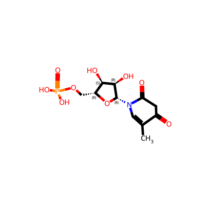 CC1=CN([C@@H]2O[C@H](COP(=O)(O)O)[C@@H](O)[C@H]2O)C(=O)CC1=O